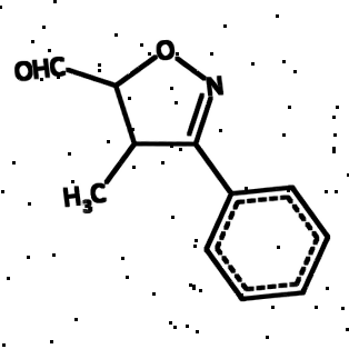 CC1C(c2ccccc2)=NOC1C=O